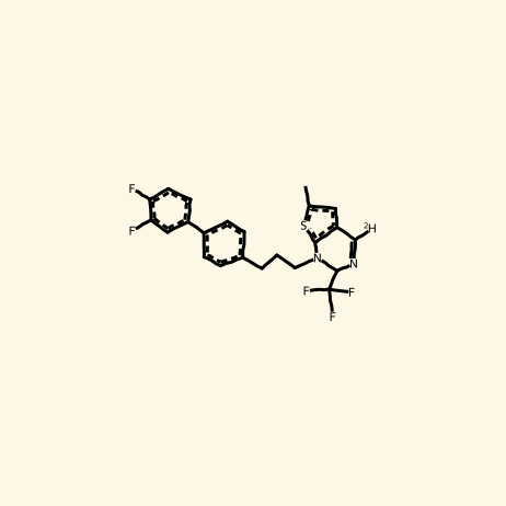 [2H]C1=NC(C(F)(F)F)N(CCCc2ccc(-c3ccc(F)c(F)c3)cc2)c2sc(C)cc21